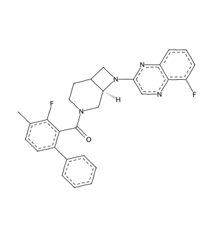 Cc1ccc(-c2ccccc2)c(C(=O)N2CCC3CN(c4cnc5c(F)cccc5n4)[C@H]3C2)c1F